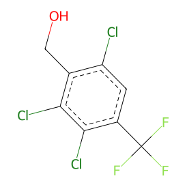 OCc1c(Cl)cc(C(F)(F)F)c(Cl)c1Cl